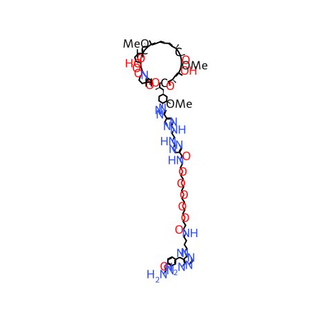 CO[C@H]1C[C@@H]2CC[C@@H](C)[C@@](O)(O2)C(=O)C(=O)N2CCCC[C@H]2C(=O)O[C@H]([C@H](C)C[C@@H]2CC[C@H](n3cc(-c4cnc(NCCNc5ncc(C(=O)NCCOCCOCCOCCOCCOCCC(=O)NCCCCn6nc(-c7ccc8oc(N)nc8c7)c7c(N)ncnc76)cn5)nc4)nn3)[C@H](OC)C2)CC(=O)[C@H](C)/C=C(\C)[C@@H](O)[C@@H](OC)C(=O)[C@H](C)C[C@H](C)/C=C/C=C/C=C/1C